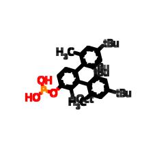 CCCCCCCCc1c(OP(O)O)ccc(-c2c(C)cc(C(C)(C)C)cc2C(C)(C)C)c1-c1c(C)cc(C(C)(C)C)cc1C(C)(C)C